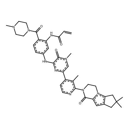 C=CC(=O)Nc1cc(Nc2nc(-c3ccnc(N4CCn5c(cc6c5CC(C)(C)C6)C4=O)c3C)cn(C)c2=O)ccc1C(=O)N1CCN(C)CC1